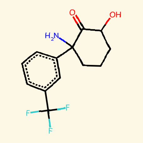 NC1(c2cccc(C(F)(F)F)c2)CCCC(O)C1=O